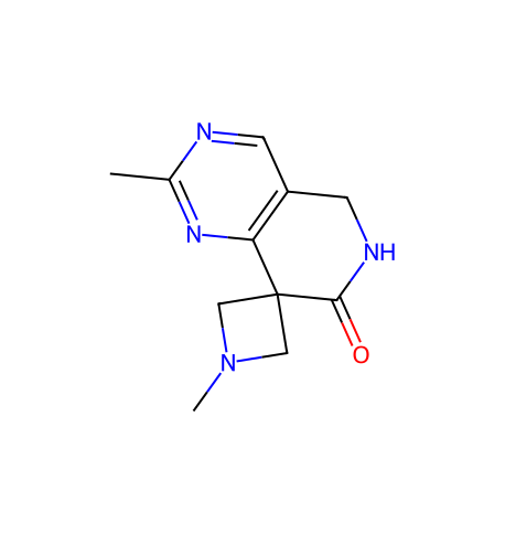 Cc1ncc2c(n1)C1(CN(C)C1)C(=O)NC2